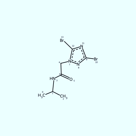 CC(C)NC(=O)Cn1nc(Br)nc1Br